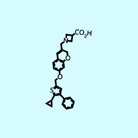 O=C(O)C1CN(CC2=Cc3ccc(OCc4cc(-c5ccccc5)c(C5CC5)s4)cc3OC2)C1